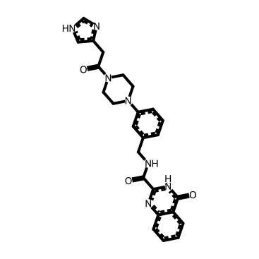 O=C(NCc1cccc(N2CCN(C(=O)Cc3c[nH]cn3)CC2)c1)c1nc2ccccc2c(=O)[nH]1